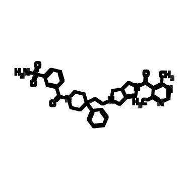 Cc1ncnc(C)c1C(=O)N1C=C2CN(CCC3(c4ccccc4)CCN(C(=O)c4cccc(S(N)(=O)=O)c4)CC3)CC2C1